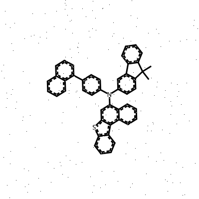 CC1(C)c2ccccc2-c2cc(N(c3ccc(-c4cccc5ccccc45)cc3)c3cc4sc5ccccc5c4c4ccccc34)ccc21